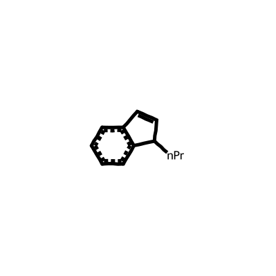 C[C]CC1C=Cc2ccccc21